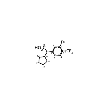 O=C(O)C(c1ccc(C(F)(F)F)c(F)c1)C1CCCC1